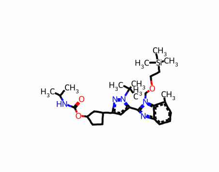 Cc1cccc2nc(-c3cc(C4CCC(OC(=O)NC(C)C)C4)nn3C(C)(C)C)n(COCC[Si](C)(C)C)c12